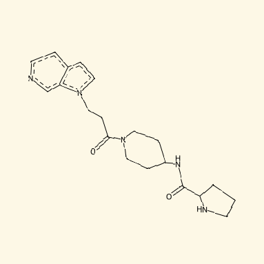 O=C(NC1CCN(C(=O)CCn2ccc3ccncc32)CC1)C1CCCN1